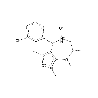 Cc1nn(C)c2c1C(c1cccc(Cl)c1)[NH+]([O-])CC(=O)N2C